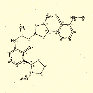 CO[C@H]1CC(CC(C)Nc2cccn([C@H]3CCC[C@@H]3OC)c2=O)C[C@H]1n1cccc(NC(C)C)c1=O